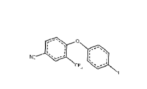 N#Cc1ccc(Oc2ccc(I)cc2)c(C(F)(F)F)c1